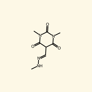 CNN=CC1C(=O)N(C)C(=O)N(C)C1=O